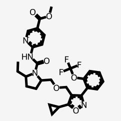 CCC1CCC(COCc2c(-c3ccccc3OC(F)(F)F)noc2C2CC2)N1C(=O)Nc1ccc(C(=O)OC)cn1